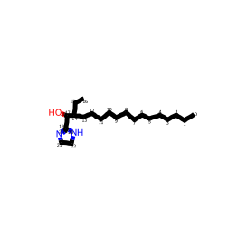 CCCCCCCCCCCCCCC(CC)C(O)C1=NCCN1